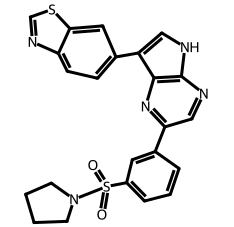 O=S(=O)(c1cccc(-c2cnc3[nH]cc(-c4ccc5ncsc5c4)c3n2)c1)N1CCCC1